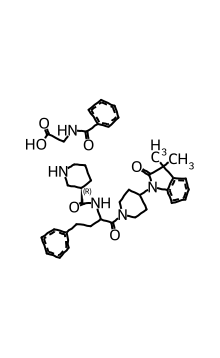 CC1(C)C(=O)N(C2CCN(C(=O)C(CCc3ccccc3)NC(=O)[C@@H]3CCCNC3)CC2)c2ccccc21.O=C(O)CNC(=O)c1ccccc1